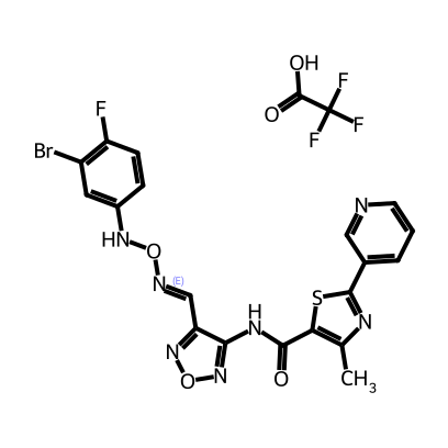 Cc1nc(-c2cccnc2)sc1C(=O)Nc1nonc1/C=N/ONc1ccc(F)c(Br)c1.O=C(O)C(F)(F)F